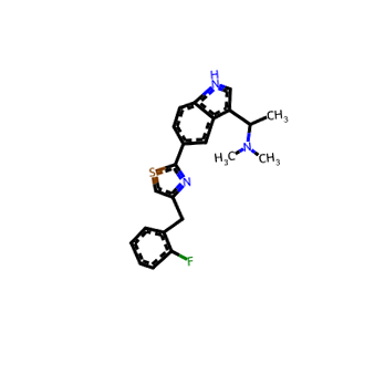 CC(c1c[nH]c2ccc(-c3nc(Cc4ccccc4F)cs3)cc12)N(C)C